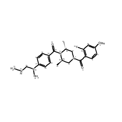 COc1ccc(C(=O)N2C[C@@H](C)N(C(=O)c3ccc(N(N)CNN)cc3)[C@H](C)C2)c(F)c1